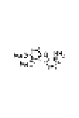 COc1ccc(Oc2ccccc2N)cc1OC